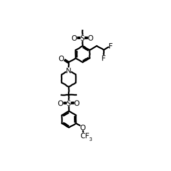 CC(C)(C1CCN(C(=O)c2ccc(CC(F)F)c(S(C)(=O)=O)c2)CC1)S(=O)(=O)c1cccc(OC(F)(F)F)c1